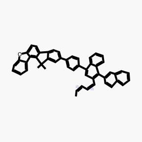 C/C=C\C=C/c1cc(-c2ccc(-c3ccc4c(c3)C(C)(C)c3c-4ccc4oc5ccccc5c34)cc2)c2ccccc2c1-c1ccc2ccccc2c1